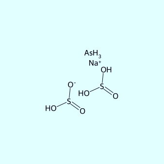 O=S(O)O.O=S([O-])O.[AsH3].[Na+]